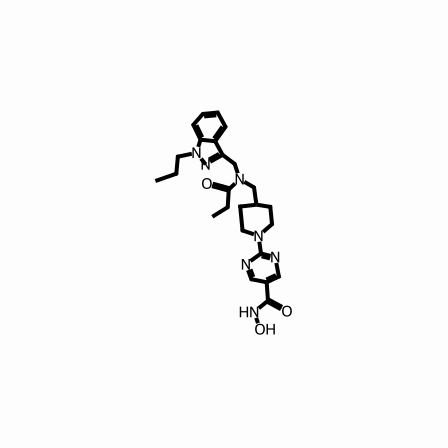 CCCn1nc(CN(CC2CCN(c3ncc(C(=O)NO)cn3)CC2)C(=O)CC)c2ccccc21